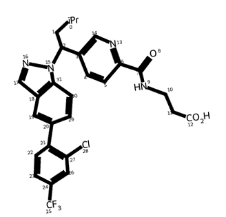 CC(C)CC(c1ccc(C(=O)NCCC(=O)O)nc1)n1ncc2cc(-c3ccc(C(F)(F)F)cc3Cl)ccc21